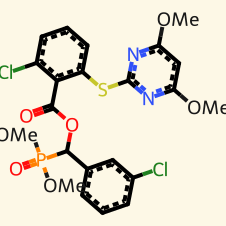 COc1cc(OC)nc(Sc2cccc(Cl)c2C(=O)OC(c2cccc(Cl)c2)P(=O)(OC)OC)n1